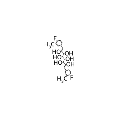 Cc1cc(C=C(O)[C@@H](O)[C@@H](O)[C@H](O)[C@@H](O)C(O)=Cc2ccc(F)c(C)c2)ccc1F